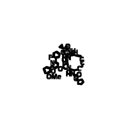 COc1cccc2c1oc1c(O[C@@H]3C[C@H]4C(=O)N[C@]5(C(=O)NS(=O)(=O)C6CC6)C[C@H]5/C=C\CCCCC[C@H](NC(=O)OC5CCCC5)C(=O)N4C3)cc(-c3ccccc3F)nc12